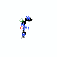 CC(=O)N1CC[C@@H](CNC(=O)Nc2cc(-c3cnn4c3CC(C)(C)C4)c(Cl)cn2)C1